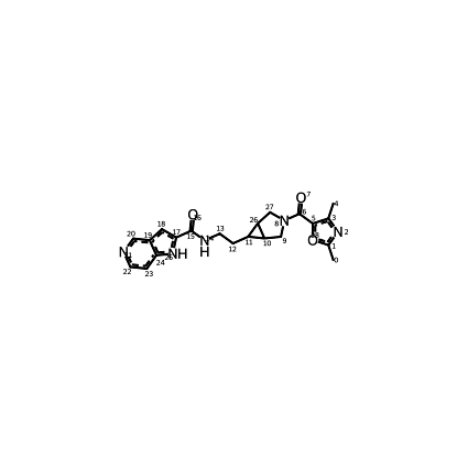 Cc1nc(C)c(C(=O)N2CC3C(CCNC(=O)c4cc5cnccc5[nH]4)C3C2)o1